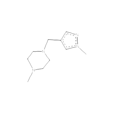 CN1CCN(Cc2cnn(C)c2)CC1